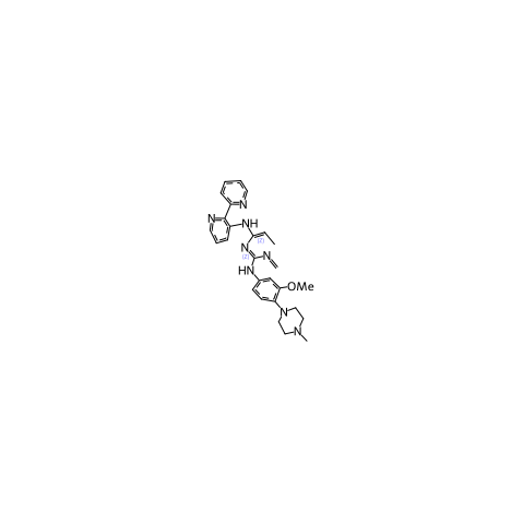 C=N/C(=N\C(=C/C)Nc1cccnc1-c1ccccn1)Nc1ccc(N2CCN(C)CC2)c(OC)c1